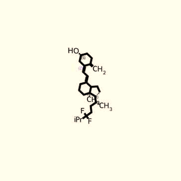 C=C1CC[C@H](O)C/C1=C/C=C1CCC[C@@]2(C)C1CC[C@@H]2[C@H](C)CCC(F)(F)C(C)C